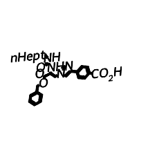 CCCCCCCNC(=O)NC(Cn1cnc(-c2ccc(C(=O)O)cc2)c1)C(=O)OCc1ccccc1